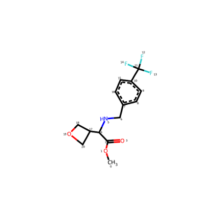 COC(=O)C(NCc1ccc(C(F)(F)F)cc1)C1COC1